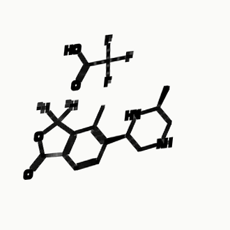 O=C(O)C(F)(F)F.[2H]C1([2H])OC(=O)c2ccc([C@@H]3CNC[C@H](C)N3)c(C)c21